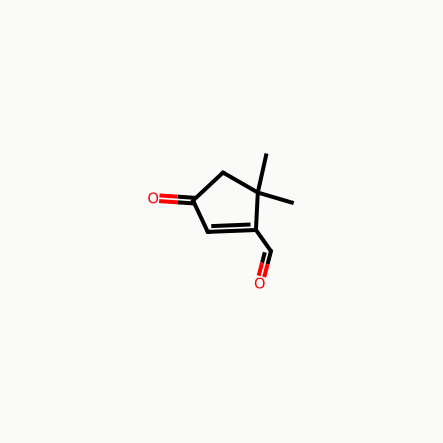 CC1(C)CC(=O)C=C1C=O